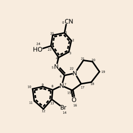 N#Cc1ccc(/N=C2/N(c3ccccc3Br)C(=O)C3CCCCN23)c(O)c1